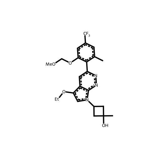 CCOc1cn(C2CC(C)(O)C2)c2nnc(-c3c(C)cc(C(F)(F)F)cc3OCOC)cc12